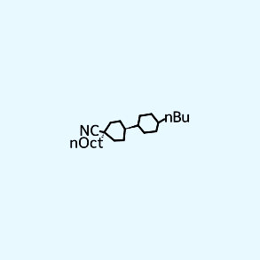 CCCCCCCC[C@]1(C#N)CC[C@@H](C2CCC(CCCC)CC2)CC1